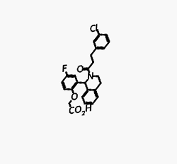 O=C(O)COc1ccc(F)cc1C1c2ccccc2CCN1C(=O)CCc1cccc(Cl)c1